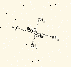 CCCCCCCCCCc1cc(-c2cc(OCCCCCCCC)c(-c3cc(CCCCCCCCCC)c(Br)s3)cc2OCCCCCCCC)sc1Br